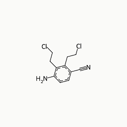 N#Cc1ccc(N)c(CCCl)c1CCCl